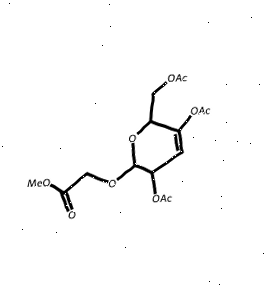 COC(=O)COC1OC(COC(C)=O)C(OC(C)=O)=CC1OC(C)=O